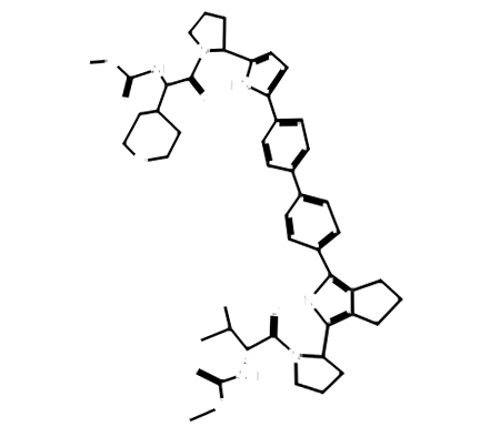 COC(=O)NC(C(=O)N1CCCC1c1ccc(-c2ccc(-c3ccc(-c4[nH]c(C5CCCN5C(=O)[C@H](NC(=O)OC)C(C)C)c5c4CCC5)cc3)cc2)[nH]1)C1CCOCC1